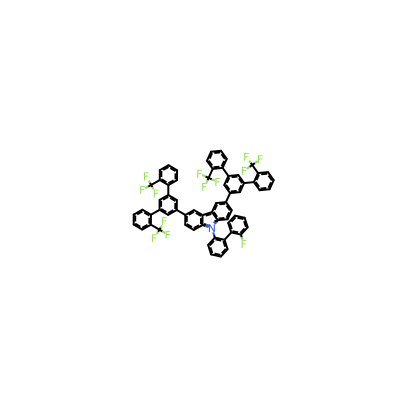 Fc1ccccc1-c1ccccc1-n1c2ccc(-c3cc(-c4ccccc4C(F)(F)F)cc(-c4ccccc4C(F)(F)F)c3)cc2c2cc(-c3cc(-c4ccccc4C(F)(F)F)cc(-c4ccccc4C(F)(F)F)c3)ccc21